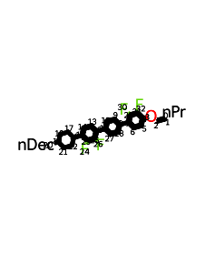 CCC/C=C\Oc1ccc(-c2ccc(-c3ccc(C4CCC(CCCCCCCCCC)CC4)c(F)c3F)cc2)c(F)c1F